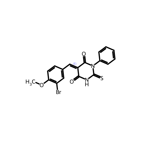 COc1ccc(/C=C2\C(=O)NC(=S)N(c3ccccc3)C2=O)cc1Br